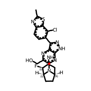 Cc1nc2ccc(-c3n[nH]c4nc(N5[C@@H]6CC[C@H]5[C@@H](F)[C@@H](N)C6)c(CO)nc34)c(Cl)c2s1